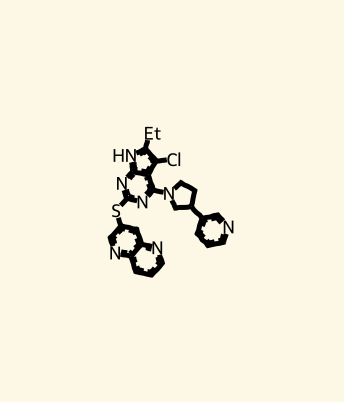 CCc1[nH]c2nc(Sc3cnc4cccnc4c3)nc(N3CCC(c4cccnc4)C3)c2c1Cl